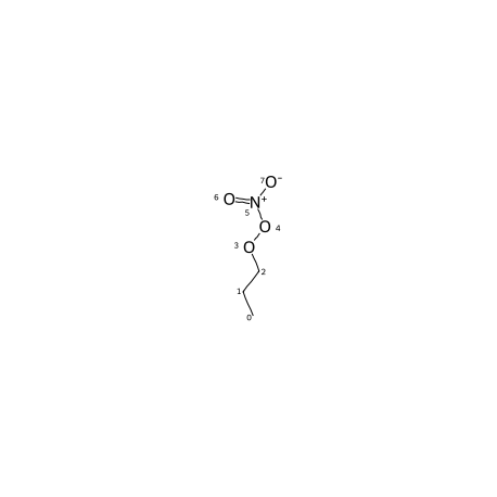 CCCOO[N+](=O)[O-]